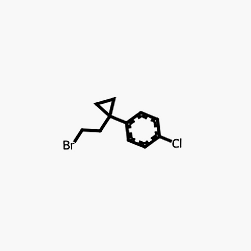 Clc1ccc(C2(CCBr)CC2)cc1